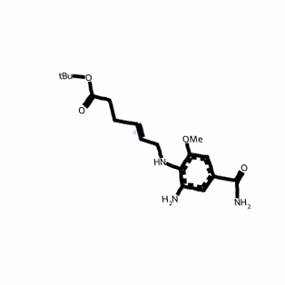 COc1cc(C(N)=O)cc(N)c1NC/C=C/CCC(=O)OC(C)(C)C